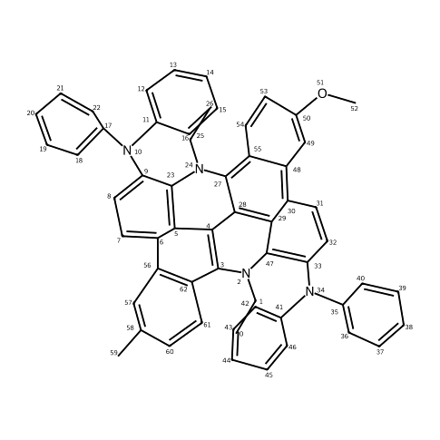 CCn1c2c3c4c(ccc(N(c5ccccc5)c5ccccc5)c4n(CC)c4c-3c3c(ccc(N(c5ccccc5)c5ccccc5)c31)c1cc(OC)ccc14)c1cc(C)ccc12